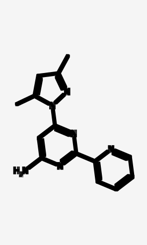 Cc1cc(C)n(-c2cc(N)nc(-c3ccccn3)n2)n1